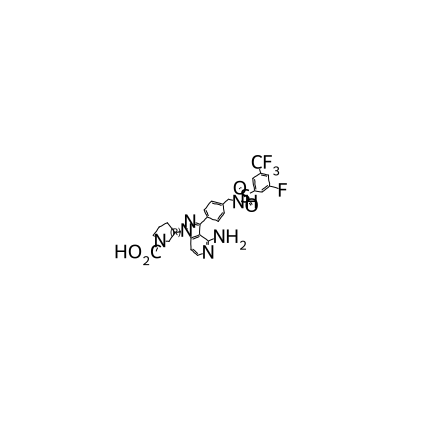 Nc1nccc2c1c(-c1ccc(CNS(=O)(=O)c3cc(F)cc(C(F)(F)F)c3)cc1)nn2[C@@H]1CCCN(C(=O)O)C1